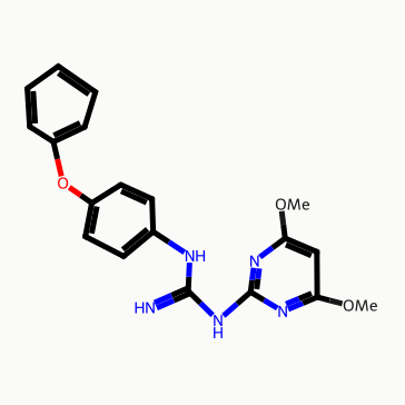 COc1cc(OC)nc(NC(=N)Nc2ccc(Oc3ccccc3)cc2)n1